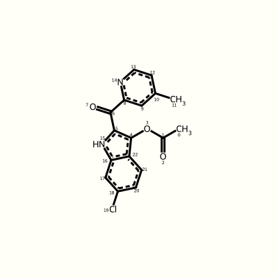 CC(=O)Oc1c(C(=O)c2cc(C)ccn2)[nH]c2cc(Cl)ccc12